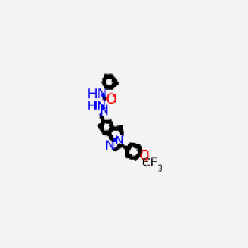 O=C(NN=Cc1ccc2c(ccn3c(-c4ccc(OC(F)(F)F)cc4)cnc23)c1)Nc1ccccc1